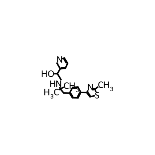 Cc1nc(-c2ccc(CC(C)(C)NCC(O)c3cccnc3)cc2)cs1